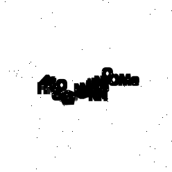 COC(=O)c1cnc(Nc2cc([C@H]3CC[C@@H](OC(=O)NC4(C)CC4)C3)nn2C(C)(C)C)cn1